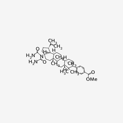 C=C(C)[C@@H]1CC[C@]2(N(C(N)=O)C(N)=O)CC[C@]3(C)[C@H](CC[C@@H]4[C@@]5(C)CC=C(c6ccc(C(=O)OC)cc6)C(C)(C)[C@@H]5CC[C@]43C)[C@@H]12